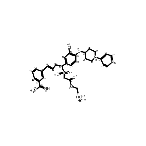 CCOC(=O)CS(=O)(=O)N(C/C=C/c1cccc(C(=N)N)c1)c1ccc(OC2CCN(c3ccncc3)CC2)c(Cl)c1.Cl.Cl